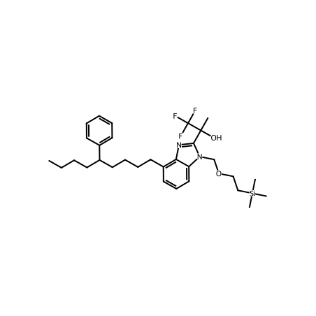 CCCCC(CCCCc1cccc2c1nc(C(C)(O)C(F)(F)F)n2COCC[Si](C)(C)C)c1ccccc1